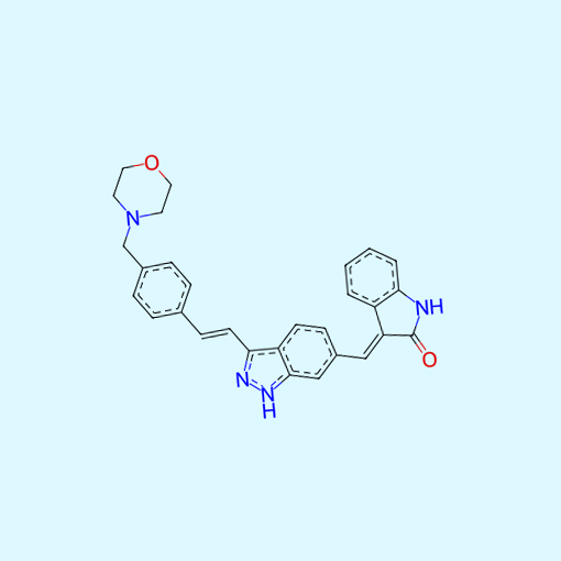 O=C1Nc2ccccc2/C1=C\c1ccc2c(C=Cc3ccc(CN4CCOCC4)cc3)n[nH]c2c1